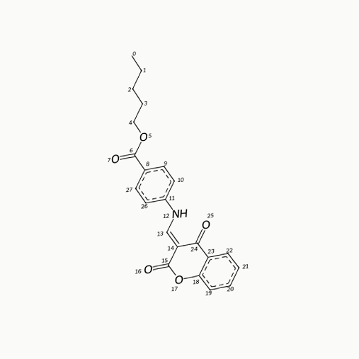 CCCCCOC(=O)c1ccc(NC=C2C(=O)Oc3ccccc3C2=O)cc1